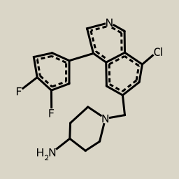 NC1CCN(Cc2cc(Cl)c3cncc(-c4ccc(F)c(F)c4)c3c2)CC1